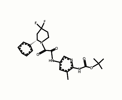 Cc1cc(NC(=O)C(=O)N2CCC(F)(F)C[C@H]2c2ccccc2)cnc1NC(=O)OC(C)(C)C